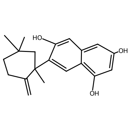 C=C1CCC(C)(C)CC1(C)c1cc2c(O)cc(O)cc2cc1O